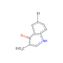 CCOC(=O)c1c[nH]c2ccc(CC)cc2c1=O